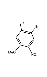 COc1cc(C(F)(F)F)c(Br)cc1[N+](=O)[O-]